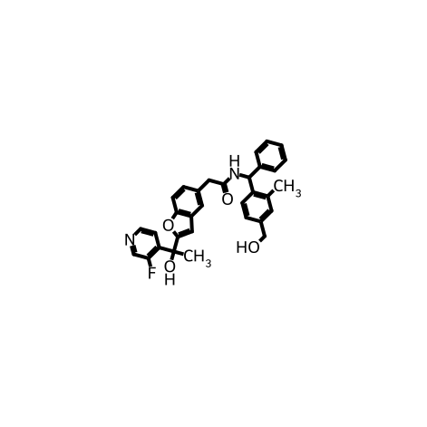 Cc1cc(CO)ccc1C(NC(=O)Cc1ccc2oc(C(C)(O)c3ccncc3F)cc2c1)c1ccccc1